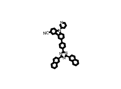 N#Cc1ccc2c(c1)c1cc(-c3ccc(-c4nc(-c5ccc6ccccc6c5)nc(-c5ccc6ccccc6c5)n4)cc3)ccc1n2-c1cccnc1